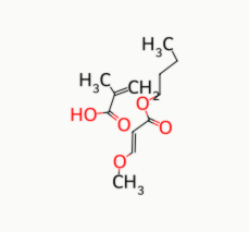 C=C(C)C(=O)O.CCCCOC(=O)C=COC